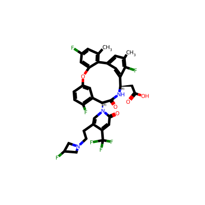 Cc1cc2cc(c1F)[C@@H](CC(=O)O)NC(=O)[C@H](n1cc(CCN3CC(F)C3)c(C(F)(F)F)cc1=O)c1cc(ccc1F)Oc1cc(F)cc(C)c1-2